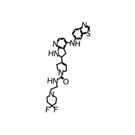 O=C(NCCN1CCC(F)(F)CC1)N1CC=C(C2Cc3c(Nc4ccc5ncsc5c4)ccnc3N2)CC1